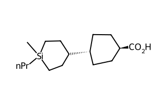 CCC[Si]1(C)CCC([C@H]2CC[C@H](C(=O)O)CC2)CC1